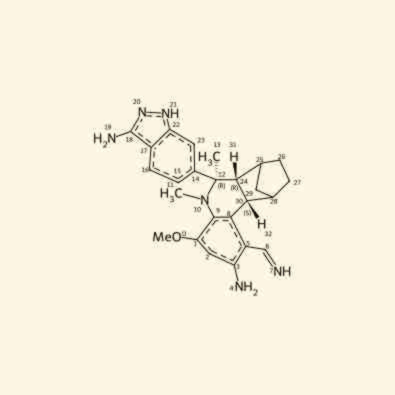 COc1cc(N)c(C=N)c2c1N(C)[C@@](C)(c1ccc3c(N)n[nH]c3c1)[C@@H]1C3CCC(C3)[C@H]21